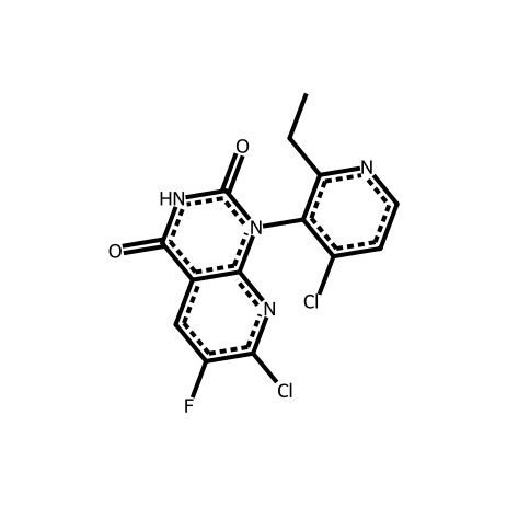 CCc1nccc(Cl)c1-n1c(=O)[nH]c(=O)c2cc(F)c(Cl)nc21